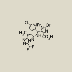 Cc1cc(NC(c2ccc(Cl)cc2)c2c(C(=O)O)nc(Br)n2C(C)C)nn2c(C(F)F)nnc12